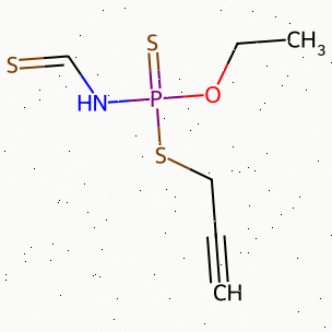 C#CCSP(=S)(NC=S)OCC